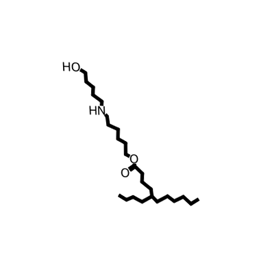 CCCCCCC(CCCC)CCCC(=O)OCCCCCCNCCCCCO